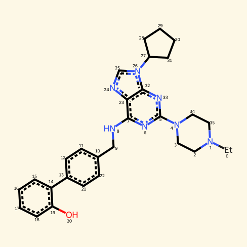 CCN1CCN(c2nc(NCc3ccc(-c4ccccc4O)cc3)c3ncn(C4CCCC4)c3n2)CC1